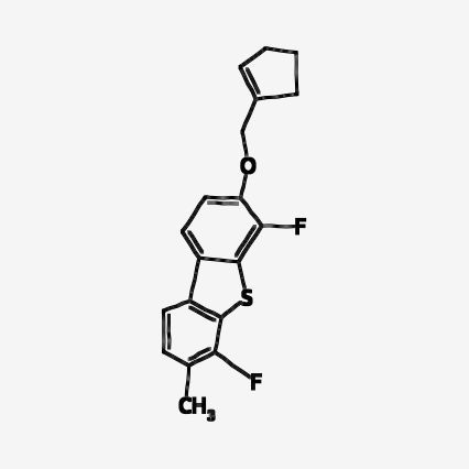 Cc1ccc2c(sc3c(F)c(OCC4=CCCC4)ccc32)c1F